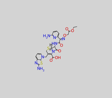 CCOC(=O)CO/N=C(/C(=O)NC1C(=O)N2C(C(=O)O)=C(CN3C=CC=C4N=C(N)SC43)CS[C@H]12)c1cccc(N)n1